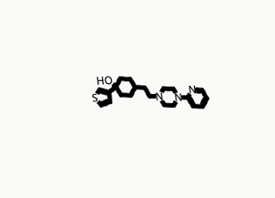 OC1(c2ccsc2)CCC(CCN2CCN(c3ccccn3)CC2)CC1